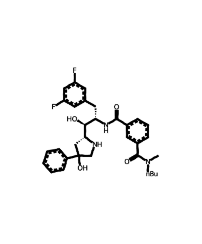 CCCCN(C)C(=O)c1cccc(C(=O)N[C@@H](Cc2cc(F)cc(F)c2)[C@H](O)[C@H]2CC(O)(c3ccccc3)CN2)c1